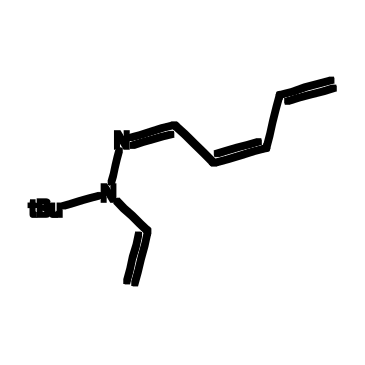 C=C/C=C\C=N/N(C=C)C(C)(C)C